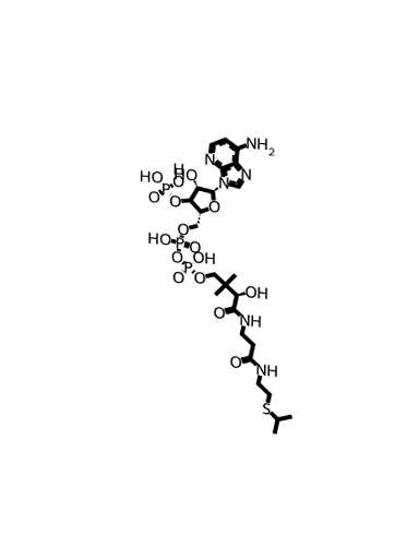 CC(C)SCCNC(=O)CCNC(=O)[C@H](O)C(C)(C)COP(=O)(O)OP(=O)(O)OC[C@H]1O[C@@H](n2cnc3c(N)ccnc32)[C@@H](O)C1OP(=O)(O)O